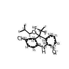 CC(C)COC1(C(C)(F)F)c2cc(Cl)ccc2Nc2c1ccc[n+]2[O-]